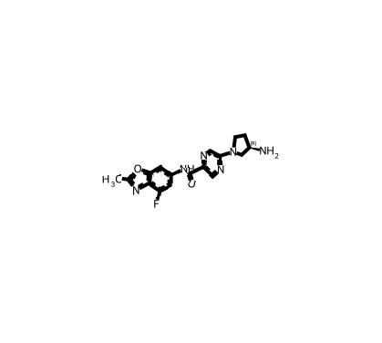 Cc1nc2c(F)cc(NC(=O)c3cnc(N4CC[C@@H](N)C4)cn3)cc2o1